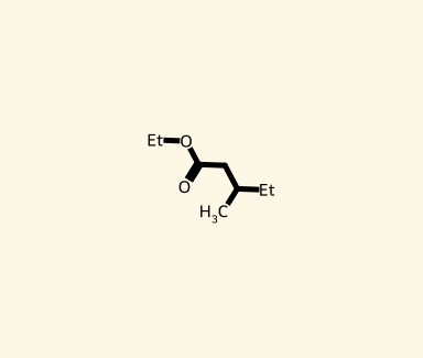 CCOC(=O)CC(C)CC